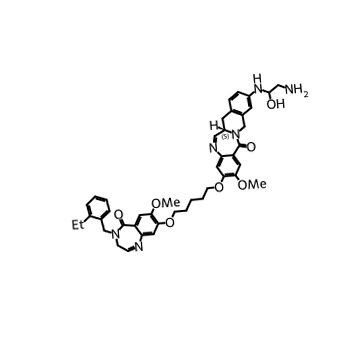 CCc1ccccc1CN1CC=Nc2cc(OCCCCCOc3cc4c(cc3OC)C(=O)N3Cc5cc(NC(O)CN)ccc5C[C@H]3C=N4)c(OC)cc2C1=O